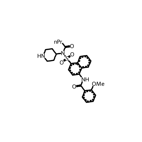 CCCC(=O)N(C1CCNCC1)S(=O)(=O)c1ccc(NC(=O)c2ccccc2OC)c2ccccc12